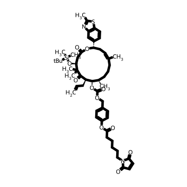 C=CC[C@H]1C(=O)C(C)(C)[C@@H](O[Si](C)(C)C(C)(C)C)CC(=O)O[C@H](c2ccc3sc(C)nc3c2)CC=C(C)CCC[C@H](C)[C@@H]1OC(=O)OCc1ccc(OC(=O)CCCCCN2C(=O)C=CC2=O)cc1